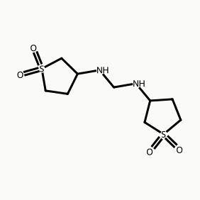 O=S1(=O)CCC(NCNC2CCS(=O)(=O)C2)C1